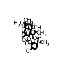 CC1=C[C@]23C(O)[C@@H](C=C4COC(C)(C)O[C@H]4[C@]2(O)[C@H]1OC(=O)N(C)c1ccc(Cl)cc1)[C@H]1[C@@H](C[C@H]3C)C1(C)C